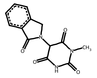 CN1C(=O)NC(=O)C(N2Cc3ccccc3C2=O)C1=O